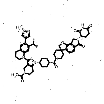 CC(=O)N1CCc2c(c(N3CCCc4cc(-c5cnn(C)c5)c(C(F)F)cc43)nn2[C@H]2CC[C@@H](C(=O)N3CCC4(CC3)COc3c4ccc4c3CN([C@H]3CCC(=O)NC3=O)C4=O)CC2)C1